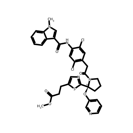 COC(=O)CCc1cnc([C@@]2(Oc3cccnc3)CCCN2C(=O)Cc2cc(Cl)c(NC(=O)c3cn(C)c4ccccc34)cc2Cl)s1